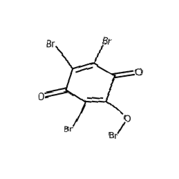 O=C1C(Br)=C(Br)C(=O)C(OBr)=C1Br